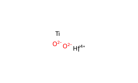 [Hf+4].[O-2].[O-2].[Ti]